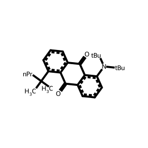 CCCC(C)(C)c1cccc2c1C(=O)c1cccc(N(C(C)(C)C)C(C)(C)C)c1C2=O